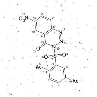 CC(=O)c1ccc(C(C)=O)c(S(=O)(=O)n2nnc3ccc([N+](=O)[O-])cc3c2=O)c1